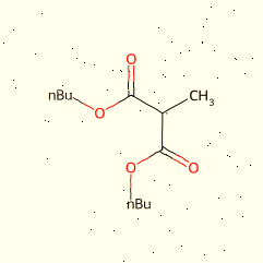 CCCCOC(=O)[C](C)C(=O)OCCCC